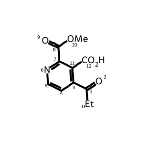 CCC(=O)c1ccnc(C(=O)OC)c1C(=O)O